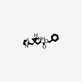 O=C(OCc1ccccc1)[C@@H]1C[C@]2(Cc3nccs3)C[C@@H]2N1